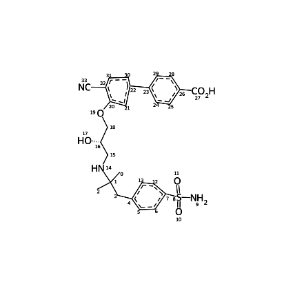 CC(C)(Cc1ccc(S(N)(=O)=O)cc1)NC[C@H](O)COc1cc(-c2ccc(C(=O)O)cc2)ccc1C#N